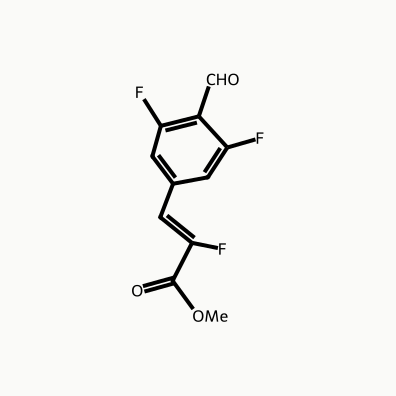 COC(=O)/C(F)=C/c1cc(F)c(C=O)c(F)c1